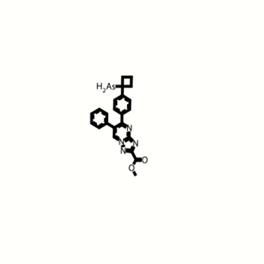 COC(=O)c1nc2nc(-c3ccc(C4([AsH2])CCC4)cc3)c(-c3ccccc3)cn2n1